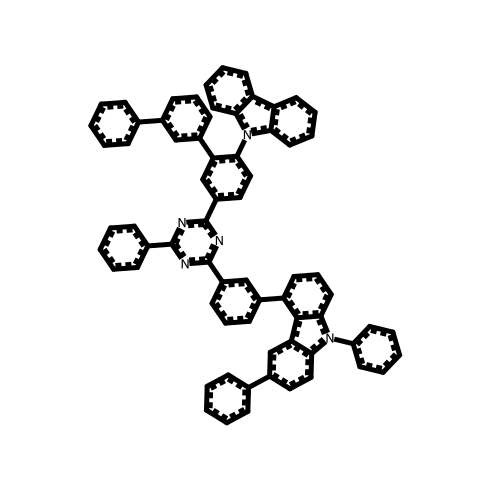 c1ccc(-c2cccc(-c3cc(-c4nc(-c5ccccc5)nc(-c5cccc(-c6cccc7c6c6cc(-c8ccccc8)ccc6n7-c6ccccc6)c5)n4)ccc3-n3c4ccccc4c4ccccc43)c2)cc1